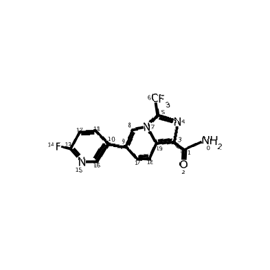 NC(=O)c1nc(C(F)(F)F)n2cc(-c3ccc(F)nc3)ccc12